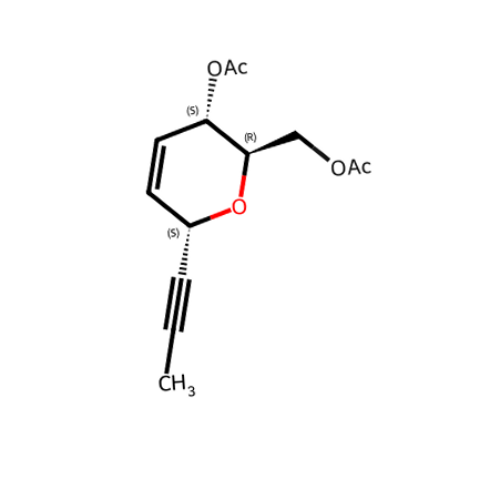 CC#C[C@@H]1C=C[C@H](OC(C)=O)[C@@H](COC(C)=O)O1